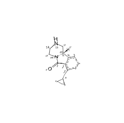 O=C1c2c(C3CC3)cccc2[C@H]2CNCCN12